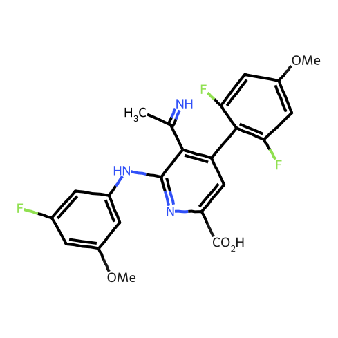 COc1cc(F)cc(Nc2nc(C(=O)O)cc(-c3c(F)cc(OC)cc3F)c2C(C)=N)c1